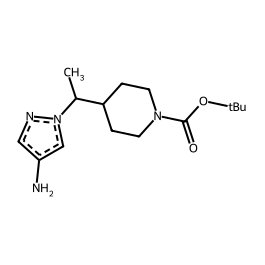 CC(C1CCN(C(=O)OC(C)(C)C)CC1)n1cc(N)cn1